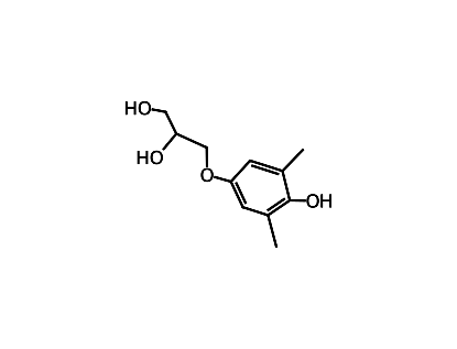 Cc1cc(OCC(O)CO)cc(C)c1O